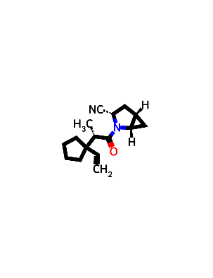 C=CC1([C@H](C)C(=O)N2[C@H](C#N)C[C@@H]3C[C@@H]32)CCCC1